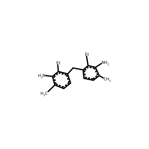 CCc1c(Cc2ccc(C)c(N)c2CC)ccc(C)c1N